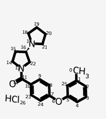 Cc1cccc(Oc2ccc(C(=O)N3CC[C@H](N4CCCC4)C3)cc2)c1.Cl